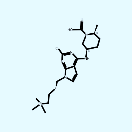 C[C@H]1CC[C@@H](Nc2nc(Cl)nc3c2ccn3COCC[Si](C)(C)C)CN1C(=O)O